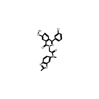 Cc1nc2ccc(N(C)C(=O)Cn3nc(-c4cccc(Cl)c4)c4ccc(OC(C)C)cc4c3=O)cc2o1